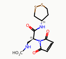 O=C(O)NC[C@@H](C(=O)N[C@H]1CCSSC1)N1C(=O)C=CC1=O